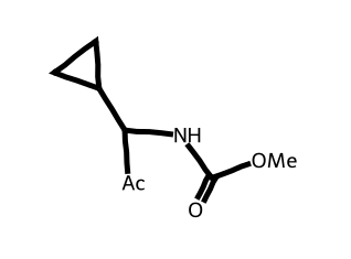 COC(=O)NC(C(C)=O)C1CC1